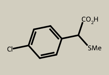 CSC(C(=O)O)c1ccc(Cl)cc1